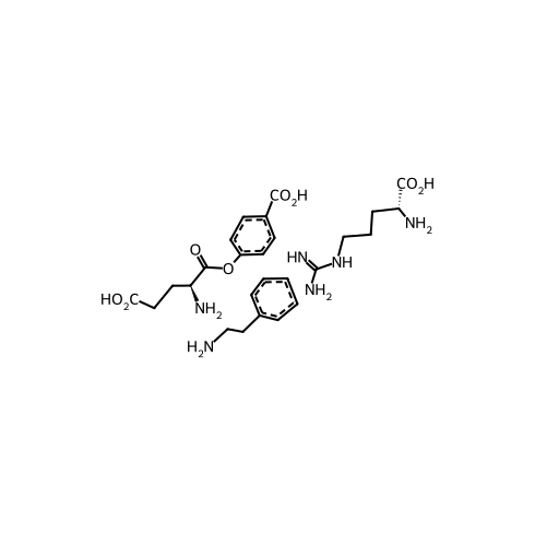 N=C(N)NCCC[C@@H](N)C(=O)O.NCCc1ccccc1.N[C@@H](CCC(=O)O)C(=O)Oc1ccc(C(=O)O)cc1